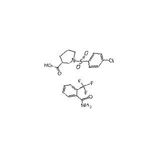 NC(=O)c1ccccc1C(F)(F)F.O=C(O)C1CCCN(S(=O)(=O)c2ccc(Cl)cc2)C1